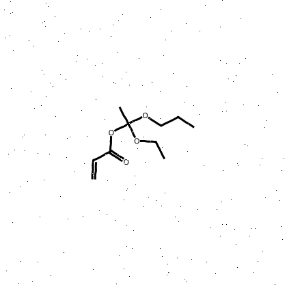 C=CC(=O)OC(C)(OCC)OCCC